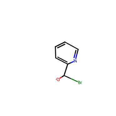 [O]C(Br)c1ccccn1